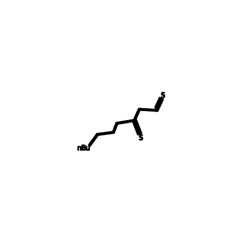 CCCCCCCC(=S)CC=S